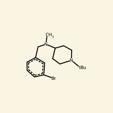 CN(Cc1cccc(Br)c1)C1CCN(C(C)(C)C)CC1